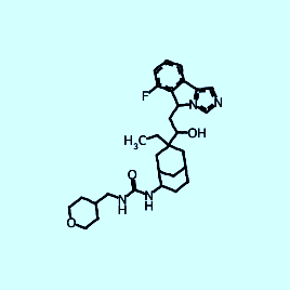 CCC1(C(O)CC2c3c(F)cccc3-c3cncn32)CC2CCC(NC(=O)NCC3CCOCC3)C(C2)C1